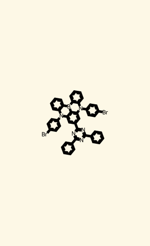 Brc1ccc(N2c3ccccc3B3c4ccccc4N(c4ccc(Br)cc4)c4cc(-c5nc(-c6ccccc6)nc(-c6ccccc6)n5)cc2c43)cc1